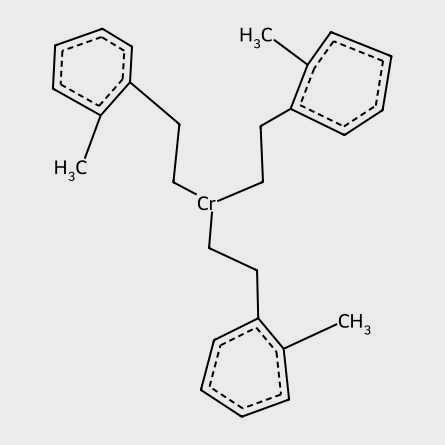 Cc1ccccc1C[CH2][Cr]([CH2]Cc1ccccc1C)[CH2]Cc1ccccc1C